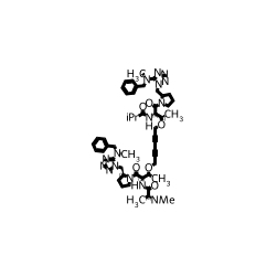 CN[C@@H](C)C(=O)N[C@H](C(=O)N1CCC[C@H]1Cn1nnnc1N(C)Cc1ccccc1)C(C)OCC#CC#CCO[C@H](C)[C@H](NC(=O)C(C)C)C(=O)N1CCCC1Cn1nnnc1N(C)Cc1ccccc1